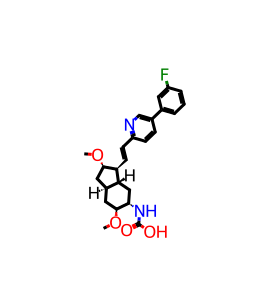 CO[C@H]1C[C@@H]2C[C@H](OC)[C@@H](NC(=O)O)C[C@H]2[C@@H]1C=Cc1ccc(-c2cccc(F)c2)cn1